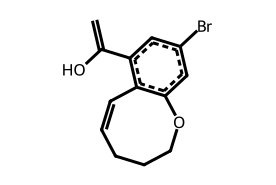 C=C(O)c1cc(Br)cc2c1/C=C\CCCO2